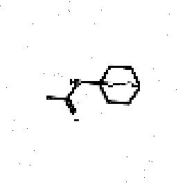 CC(=O)NC12CCC(CC1)CC2